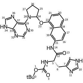 CC(C)(C)OC(=O)N[C@@H](Cc1c[nH]cn1)C(=O)Nc1ccc2cccc(OC3CCCN3c3ncnc4[nH]cnc34)c2c1